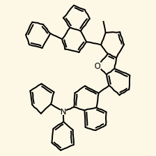 CC1C=Cc2c(oc3c(-c4ccc(N(c5ccccc5)C5C=CC=CC5)c5ccccc45)cccc23)C1c1ccc(-c2ccccc2)c2ccccc12